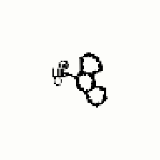 O=[SH](=O)c1cc2ccccc2c2ccccc12